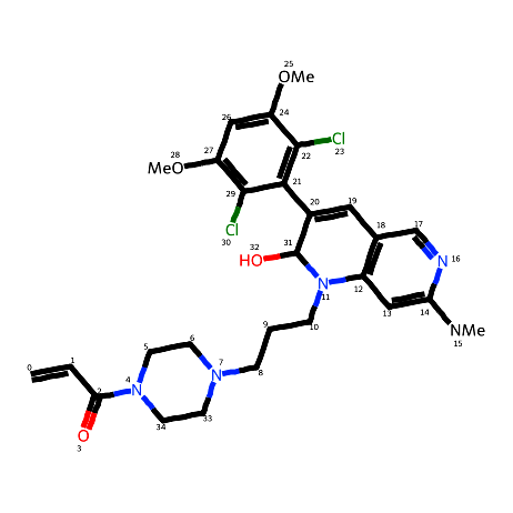 C=CC(=O)N1CCN(CCCN2c3cc(NC)ncc3C=C(c3c(Cl)c(OC)cc(OC)c3Cl)C2O)CC1